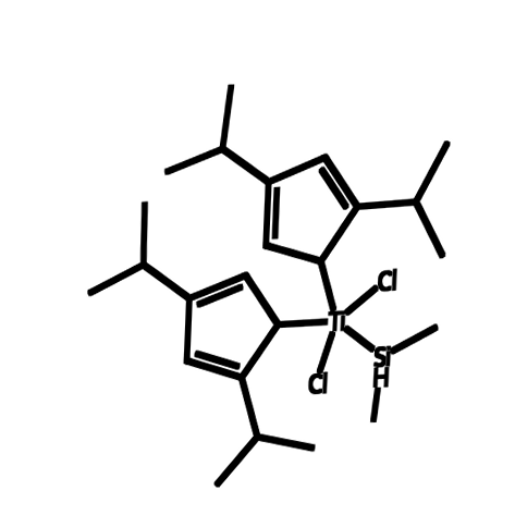 CC(C)C1=C[CH]([Ti]([Cl])([Cl])([CH]2C=C(C(C)C)C=C2C(C)C)[SiH](C)C)C(C(C)C)=C1